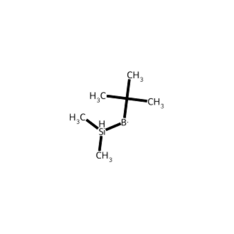 C[SiH](C)[B]C(C)(C)C